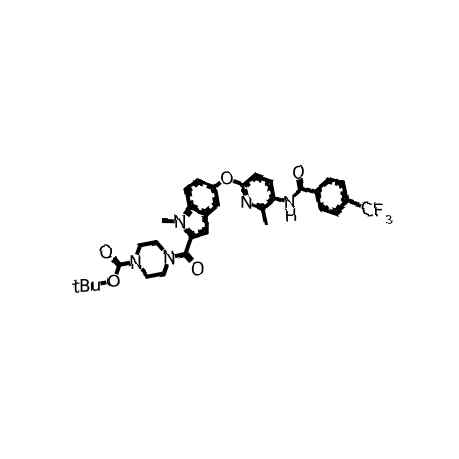 Cc1nc(Oc2ccc3c(c2)cc(C(=O)N2CCN(C(=O)OC(C)(C)C)CC2)n3C)ccc1NC(=O)c1ccc(C(F)(F)F)cc1